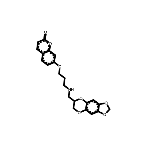 O=c1ccc2ccc(OCCCNCC3COc4cc5c(cc4O3)OCO5)cc2o1